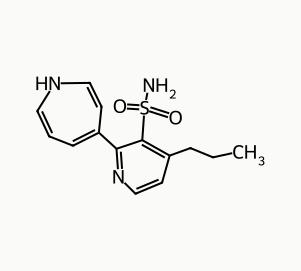 CCCc1ccnc(C2=CC=CNC=C2)c1S(N)(=O)=O